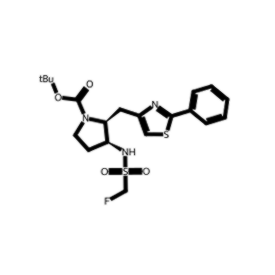 CC(C)(C)OC(=O)N1CC[C@H](NS(=O)(=O)CF)[C@@H]1Cc1csc(-c2ccccc2)n1